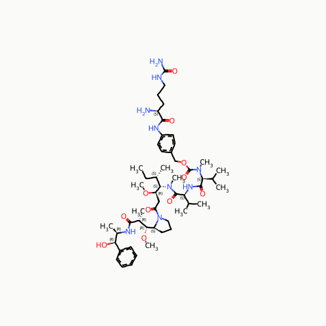 CC[C@H](C)[C@@H]([C@@H](CC(=O)N1CCC[C@H]1[C@H](OC)[C@@H](C)C(=O)N[C@H](C)[C@H](O)c1ccccc1)OC)N(C)C(=O)[C@@H](NC(=O)[C@H](C(C)C)N(C)C(=O)OCc1ccc(NC(=O)[C@@H](N)CCCNC(N)=O)cc1)C(C)C